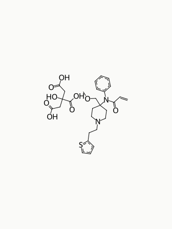 C=CC(=O)N(c1ccccc1)C1(COC)CCN(CCc2cccs2)CC1.O=C(O)CC(O)(CC(=O)O)C(=O)O